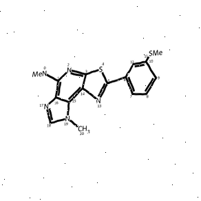 CNc1nc2sc(-c3cccc(SC)c3)nc2c2c1ncn2C